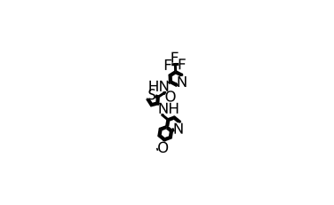 COc1ccc2c(CNc3ccsc3C(=O)Nc3cncc(C(F)(F)F)c3)ccnc2c1